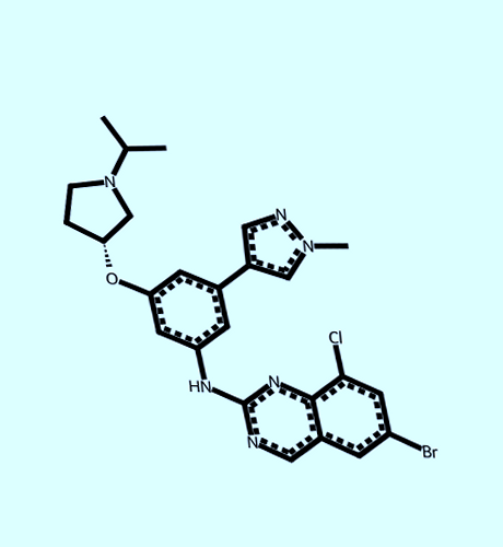 CC(C)N1CC[C@@H](Oc2cc(Nc3ncc4cc(Br)cc(Cl)c4n3)cc(-c3cnn(C)c3)c2)C1